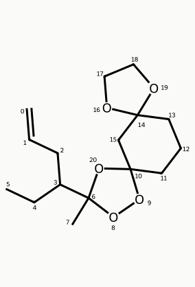 C=CCC(CC)C1(C)OOC2(CCCC3(C2)OCCO3)O1